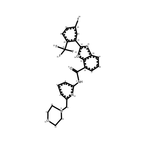 O=C(Nc1cccc(CN2CCOCC2)n1)c1cccc2nc(-c3cc(F)ccc3C(F)(F)F)oc12